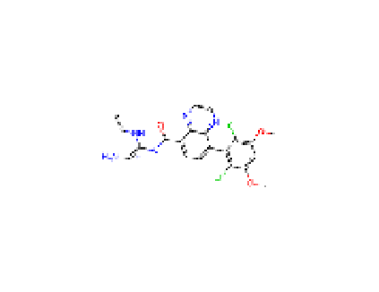 C=CN/C(=C\N)NC(=O)c1ccc(-c2c(Cl)c(OC)cc(OC)c2Cl)c2nccnc12